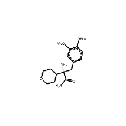 COc1ccc(C[C@@](N)(C(N)=O)C2CCOCC2)cc1OC